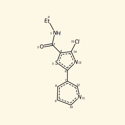 CCNC(=O)c1sc(-c2cccnc2)nc1Cl